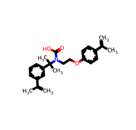 C=C(C)c1ccc(OCCN(C(=O)O)C(C)(C)c2cccc(C(=C)C)c2)cc1